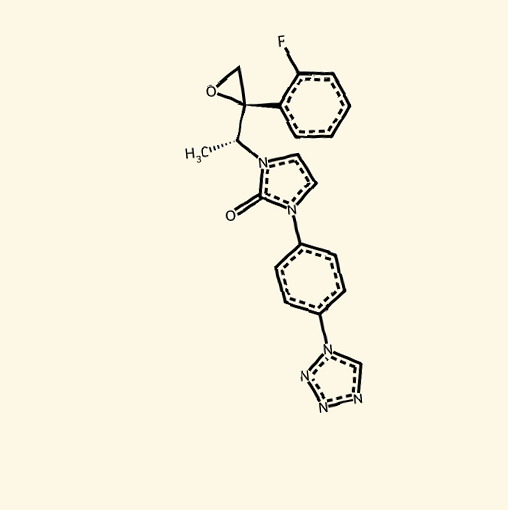 C[C@@H](n1ccn(-c2ccc(-n3cnnn3)cc2)c1=O)[C@@]1(c2ccccc2F)CO1